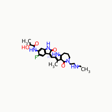 CCNCCN1CCCc2[nH]c(/C=C3\C(=O)Nc4cc(NC(=O)C(C)O)c(F)cc43)c(C)c2C1=O